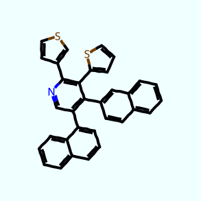 c1csc(-c2c(-c3ccsc3)ncc(-c3cccc4ccccc34)c2-c2ccc3ccccc3c2)c1